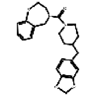 O=C(N1CCC(Cc2ccc3c(c2)OCO3)CC1)N1CCSc2ccccc2C1